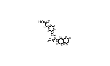 CON=C(COc1cccc(CC(=O)O)c1)c1ccc2ccccc2c1